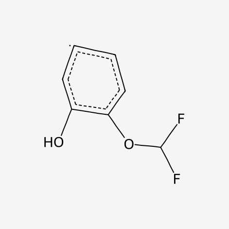 Oc1c[c]ccc1OC(F)F